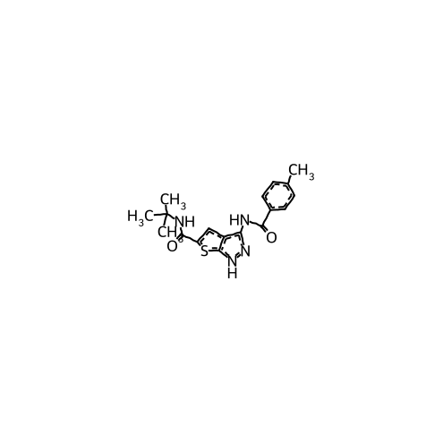 Cc1ccc(C(=O)Nc2n[nH]c3sc(C(=O)NC(C)(C)C)cc23)cc1